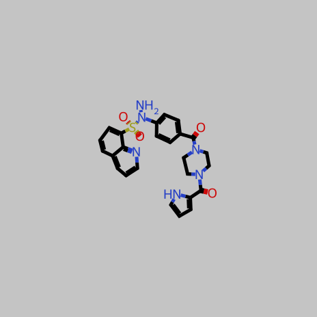 NN(c1ccc(C(=O)N2CCN(C(=O)c3ccc[nH]3)CC2)cc1)S(=O)(=O)c1cccc2cccnc12